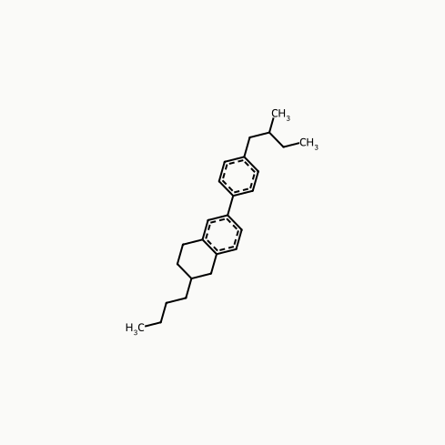 CCCCC1CCc2cc(-c3ccc(CC(C)CC)cc3)ccc2C1